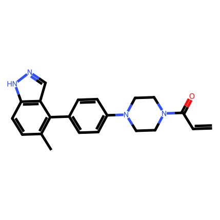 C=CC(=O)N1CCN(c2ccc(-c3c(C)ccc4[nH]ncc34)cc2)CC1